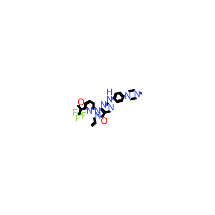 C=CCn1c(=O)c2cnc(Nc3ccc(N4CCN(C)CC4)cc3)nc2n1C1CC=C2OCC(C(F)(F)F)C2=N1